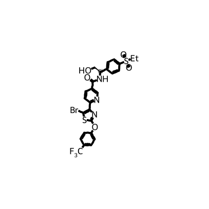 CCS(=O)(=O)c1ccc([C@H](CO)NC(=O)c2ccc(-c3nc(Oc4ccc(C(F)(F)F)cc4)sc3Br)nc2)cc1